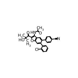 CC(=O)Nc1c(C(=O)C(C)(C)O)oc2cc(-c3ccccc3Cl)c(-c3ccc(C#N)cc3)cc12